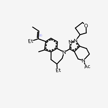 C/C=C(\CC)c1ccc2c(c1C)CC(CC)CN2c1nn(C2CCOC2)c2c1CN(C(C)=O)CC2